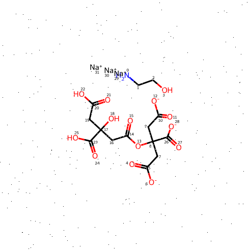 NCCO.O=C([O-])CC(CC(=O)[O-])(OC(=O)CC(O)(CC(=O)O)C(=O)O)C(=O)[O-].[Na+].[Na+].[Na+]